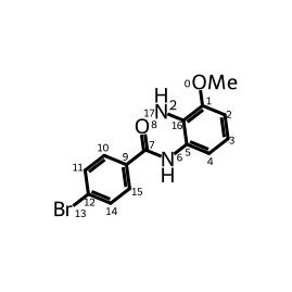 COc1cccc(NC(=O)c2ccc(Br)cc2)c1N